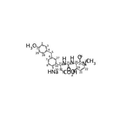 Cc1ccc(Cc2cccc(C(CC(=O)O)NC(=O)NC3C(=O)C=CN(C)C3=O)c2)cc1.[NaH]